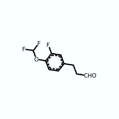 O=CCCc1ccc(OC(F)F)c(F)c1